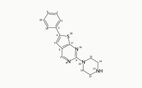 c1ccc(-c2cc3cnc(N4CCNCC4)nc3s2)cc1